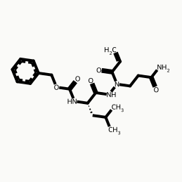 C=CC(=O)N(CCC(N)=O)NC(=O)[C@H](CC(C)C)NC(=O)OCc1ccccc1